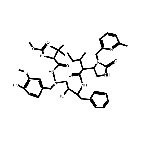 CCC(C)C(C(=O)NC(Cc1ccccc1)C(O)CN(Cc1ccc(O)c(OC)c1)NC(=O)C(NC(=O)OC)C(C)(C)C)C1CNC(=O)N1Cc1cccc(C)n1